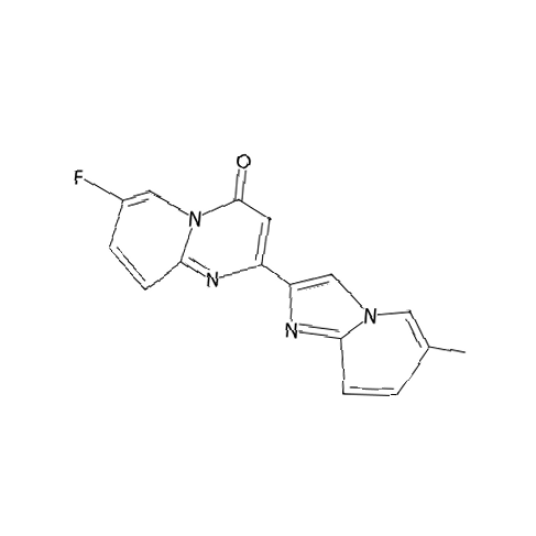 Cc1ccc2nc(-c3cc(=O)n4cc(F)ccc4n3)cn2c1